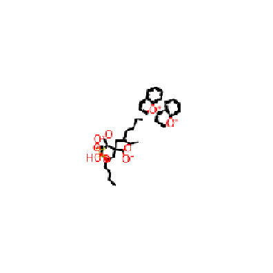 CCCCC(CC)CC(CC(CC)CCCC)(C(=O)[O-])C(C(=O)[O-])S(=O)(=O)O.c1ccc2[o+]cccc2c1.c1ccc2[o+]cccc2c1